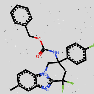 Cc1ccc2c(c1)nc1n2CC(NC(=O)OCc2ccccc2)(c2ccc(F)cc2)CC1(F)F